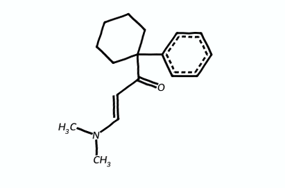 CN(C)C=CC(=O)C1(c2ccccc2)CCCCC1